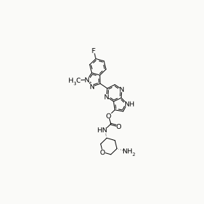 Cn1nc(-c2cnc3[nH]cc(OC(=O)N[C@H]4COC[C@@H](N)C4)c3n2)c2ccc(F)cc21